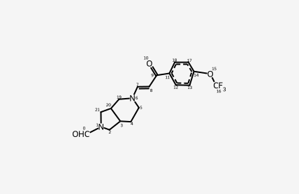 O=CN1CC2CCN(/C=C/C(=O)c3ccc(OC(F)(F)F)cc3)CC2C1